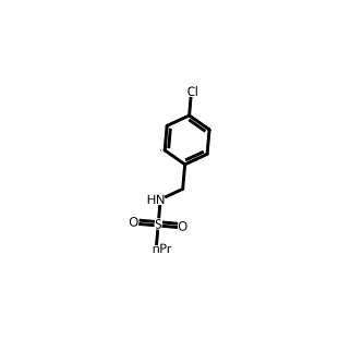 CCCS(=O)(=O)NCc1[c]cc(Cl)cc1